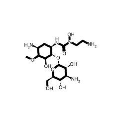 COC1[C@@H](N)C[C@@H](NC(=O)N(O)CCN)[C@H](O[C@H]2O[C@H](CO)[C@@H](O)[C@H](N)[C@H]2O)[C@H]1O